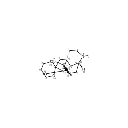 CN1CC[C@]23CC4(CCC2[C@H]1Cc1ccc(O)c(O)c13)OCCCO4